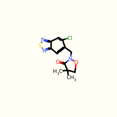 CC1(C)CON(Cc2cc3nsnc3cc2Cl)C1=O